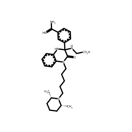 C[C@@H]1CCC[C@H](C)N1CCCCCN1C(=O)C(NCC(=O)O)(c2cccc(C(=N)N)c2)Nc2ccccc21